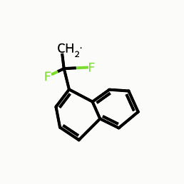 [CH2]C(F)(F)c1cccc2ccccc12